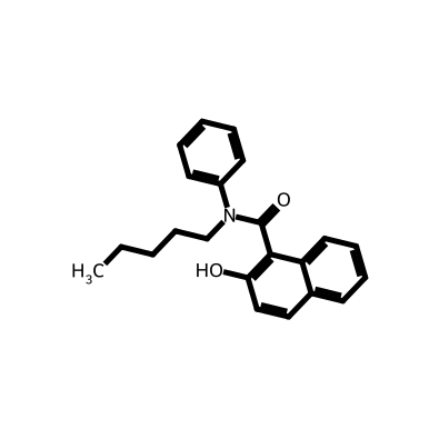 CCCCCN(C(=O)c1c(O)ccc2ccccc12)c1ccccc1